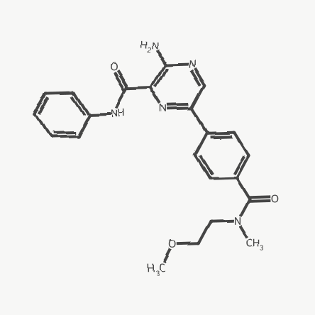 COCCN(C)C(=O)c1ccc(-c2cnc(N)c(C(=O)Nc3ccccc3)n2)cc1